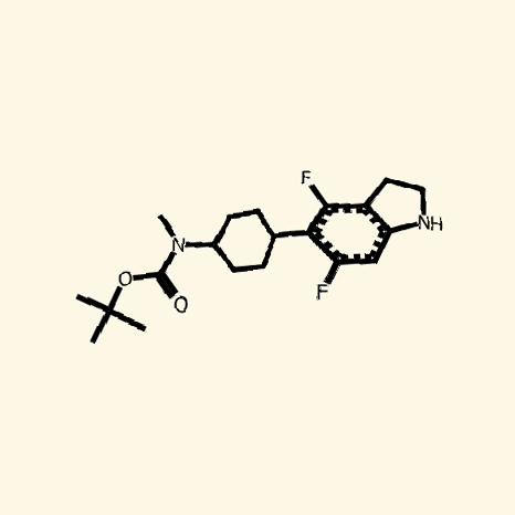 CN(C(=O)OC(C)(C)C)C1CCC(c2c(F)cc3c(c2F)CCN3)CC1